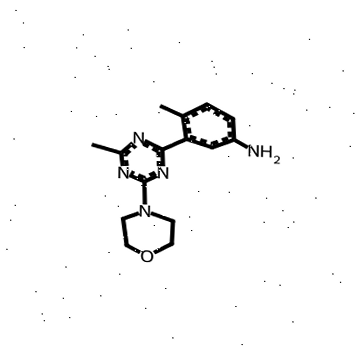 Cc1nc(-c2cc(N)ccc2C)nc(N2CCOCC2)n1